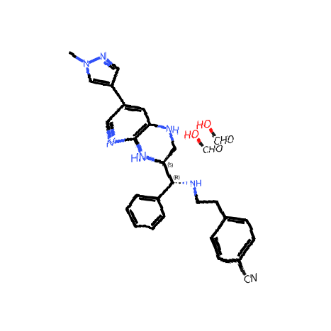 Cn1cc(-c2cnc3c(c2)NC[C@@H]([C@H](NCCc2ccc(C#N)cc2)c2ccccc2)N3)cn1.O=CO.O=CO